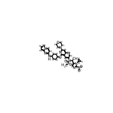 CC(c1cnc([N+](=O)[O-])n1C1CC1)N(c1cnc2cc(N3CCOCC3)nc(OC3CCC(Nc4ccn5nccc5n4)CC3)c2c1)S(C)(=O)=O